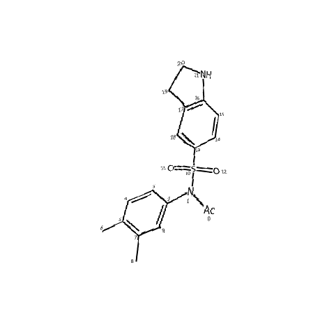 CC(=O)N(c1ccc(C)c(C)c1)S(=O)(=O)c1ccc2c(c1)CCN2